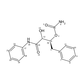 NC(=O)O[C@@H](Cc1ccccc1)C(O)C(=O)Nc1ccccc1